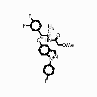 COCC(=O)N[C@@H](C)[C@H](Oc1ccc2c(cnn2-c2ccc(F)cc2)c1)c1ccc(F)c(F)c1